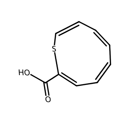 O=C(O)c1cccccccs1